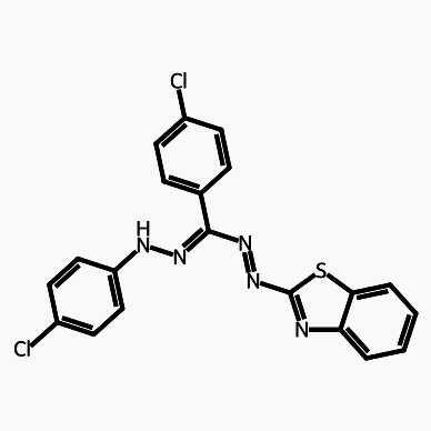 Clc1ccc(NN=C(N=Nc2nc3ccccc3s2)c2ccc(Cl)cc2)cc1